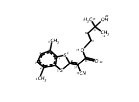 Cc1ccc(C)c2c1SC(=C(C#N)C(=O)OCCC(C)(C)O)S2